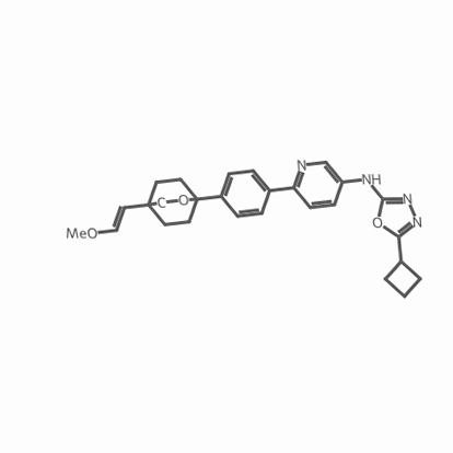 COC=CC12CCC(c3ccc(-c4ccc(Nc5nnc(C6CCC6)o5)cn4)cc3)(CC1)OC2